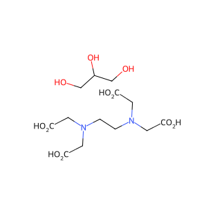 O=C(O)CN(CCN(CC(=O)O)CC(=O)O)CC(=O)O.OCC(O)CO